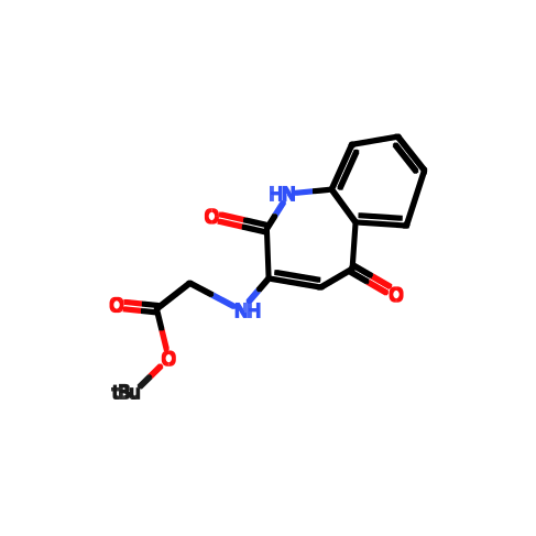 CC(C)(C)OC(=O)CNc1cc(=O)c2ccccc2[nH]c1=O